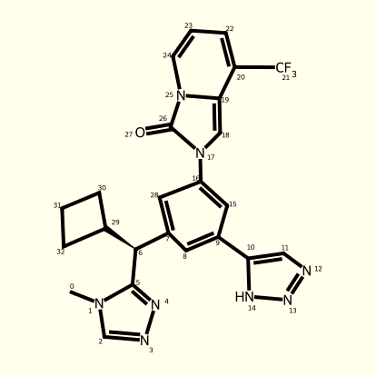 Cn1cnnc1[C@H](c1cc(-c2cnn[nH]2)cc(-n2cc3c(C(F)(F)F)cccn3c2=O)c1)C1CCC1